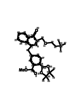 COC(=O)c1cc(Cc2nn(COCC[Si](C)(C)C)c(=O)c3ccccc23)ccc1B1OC(C)(C)C(C)(C)O1